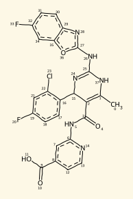 CC1=C(C(=O)Nc2cc(C(=O)O)ccn2)C(c2ccc(F)cc2Cl)N=C(Nc2nc3ccc(F)cc3o2)N1